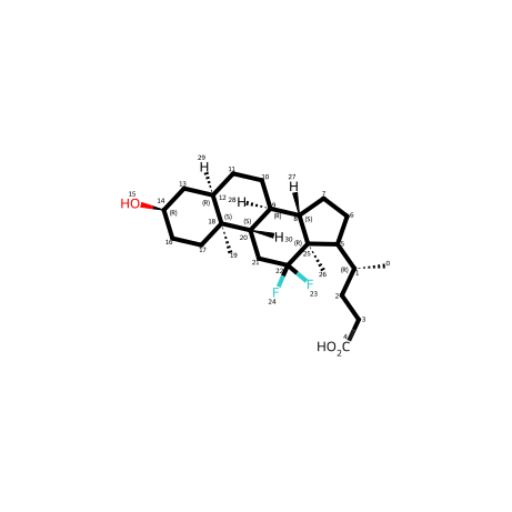 C[C@H](CCC(=O)O)C1CC[C@H]2[C@@H]3CC[C@@H]4C[C@H](O)CC[C@]4(C)[C@H]3CC(F)(F)[C@]12C